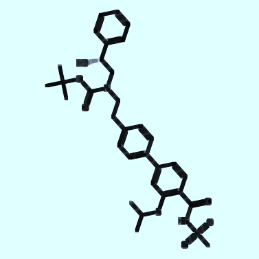 CC(C)Sc1cc(-c2ccc(CCN(C[C@H](O)c3ccccc3)C(=O)OC(C)(C)C)cc2)ccc1C(=O)NS(C)(=O)=O